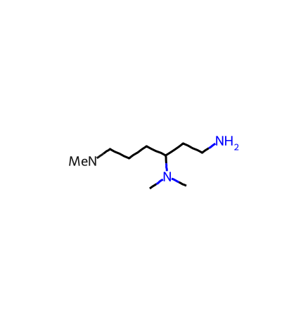 CNCCCC(CCN)N(C)C